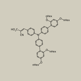 CCCCCCOc1ccc(-c2ccc(N(c3ccc(/C=C(\C#N)C(=O)O)cc3)c3ccc(-c4ccc(OCCCCCC)cc4OCCCCCC)cc3)cc2)c(OCCCCCC)c1